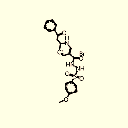 COc1ccc(S(=O)(=O)NNC(=O)C2=CNC(CC(=O)c3ccccc3)[C+]=C2)cc1.[Br-]